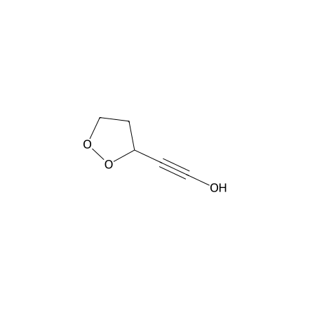 OC#CC1CCOO1